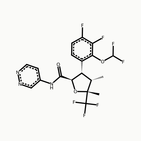 C[C@H]1[C@@H](c2ccc(F)c(F)c2OC(F)F)[C@H](C(=O)Nc2ccnnc2)O[C@@]1(C)C(F)(F)F